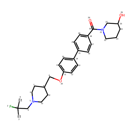 CCC(F)(CC)CN1CCC(COc2ccc(-c3ccc(C(=O)N4CCCC(O)C4)cc3)cc2)CC1